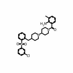 Cc1cccc(C(=O)N2CCC(N3CCC(Cc4ccccc4S(=O)(=O)c4cccc(Cl)c4)CC3)CC2)c1N